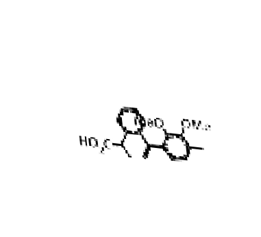 C=C(c1ccccc1C(C)C(=O)O)c1ccc(I)c(OC)c1OC